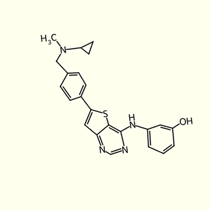 CN(Cc1ccc(-c2cc3ncnc(Nc4cccc(O)c4)c3s2)cc1)C1CC1